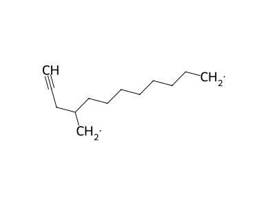 C#CCC([CH2])CCCCCCC[CH2]